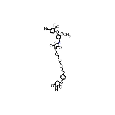 COc1cc(/C=C2\SC(=O)N(CCOCCOCCOCCCc3ccc(SC4CCC(=O)NC4=O)cc3)C2=O)ccc1Oc1ccc(C#N)cc1C(F)(F)F